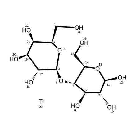 OC[C@H]1O[C@@H](O[C@H]2[C@H](O)[C@@H](O)[C@H](O)O[C@@H]2CO)[C@H](O)[C@@H](O)[C@H]1O.[Ti]